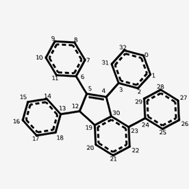 c1ccc(C2=C(c3ccccc3)C(c3ccccc3)c3cccc(-c4ccccc4)c32)cc1